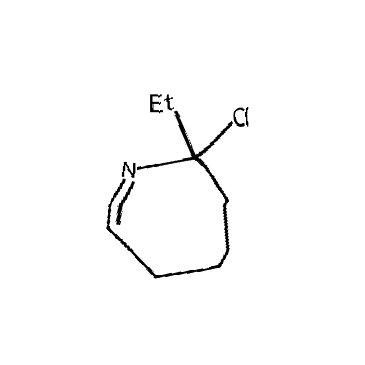 CCC1(Cl)CCCC=N1